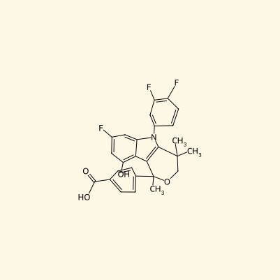 CC1(C)COC(C)(c2ccc(C(=O)O)cc2)c2c1n(-c1ccc(F)c(F)c1)c1cc(F)cc(O)c21